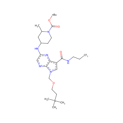 CCCCOC(=O)N1CCC(Nc2cnc3c(n2)c(C(=O)NCCC(F)(F)F)cn3COCC[Si](C)(C)C)CC1C